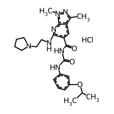 Cc1nn(C)c2nc(NCCN3CCCC3)c(C(=O)NC(=O)Nc3cccc(OC(C)C)c3)cc12.Cl